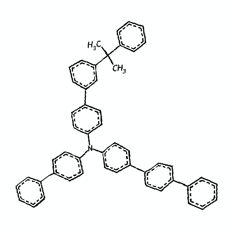 CC(C)(c1ccccc1)c1cccc(-c2ccc(N(c3ccc(-c4ccccc4)cc3)c3ccc(-c4ccc(-c5ccccc5)cc4)cc3)cc2)c1